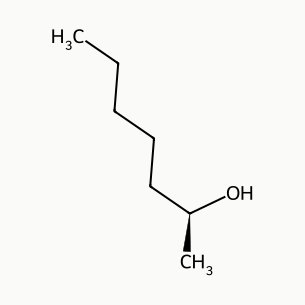 CCCCC[C@H](C)O